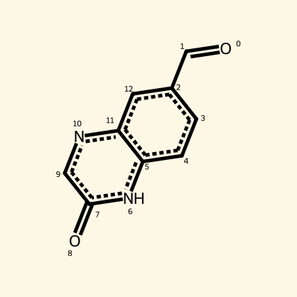 O=Cc1ccc2[nH]c(=O)cnc2c1